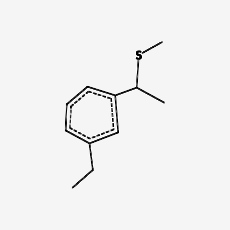 CCc1cccc(C(C)SC)c1